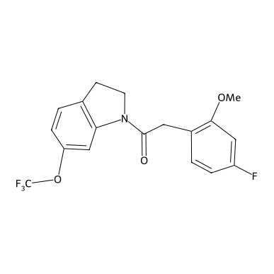 COc1cc(F)ccc1CC(=O)N1CCc2ccc(OC(F)(F)F)cc21